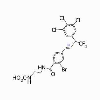 O=C(O)NCCNC(=O)c1ccc(/C=C/C(c2cc(Cl)c(Cl)c(Cl)c2)C(F)(F)F)cc1Br